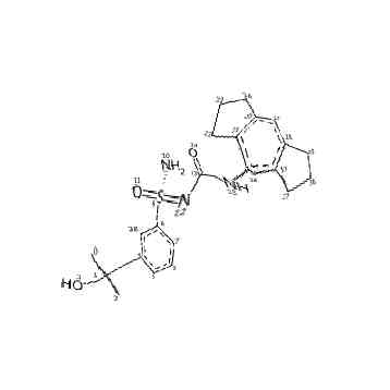 CC(C)(O)c1cccc([S@@](N)(=O)=NC(=O)Nc2c3c(cc4c2CCC4)CCC3)c1